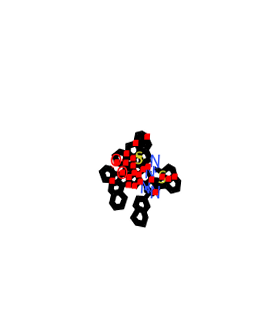 c1cc(-c2ccc3c(c2)C2(c4ccccc4O3)c3cc(-c4nc(-c5ccc6ccccc6c5)nc5c4sc4ccccc45)ccc3-c3c2ccc2ccccc32)cc(-c2ccccc2-c2nc(-c3ccc4c(c3)C3(c5ccccc5Oc5ccccc53)c3ccc5ccccc5c3-4)c3sc4ccccc4c3n2)c1